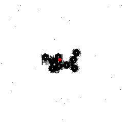 c1ccc(C2=NC(c3ccccc3)NC(c3cccc4oc5cc(-c6ccc(N(c7ccccc7)c7ccc(-c8ccccc8)cc7)cc6)c6ccccc6c5c34)=N2)cc1